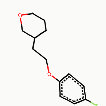 Fc1ccc(OCCC2CC[CH]OC2)cc1